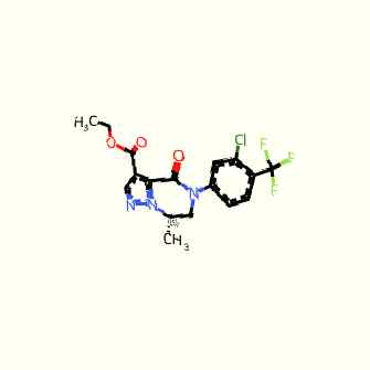 CCOC(=O)c1cnn2c1C(=O)N(c1ccc(C(F)(F)F)c(Cl)c1)C[C@@H]2C